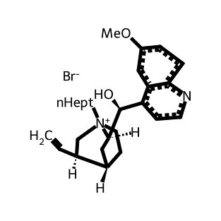 C=C[C@H]1C[N+]2(CCCCCCC)CC[C@H]1C[C@@H]2[C@@H](O)c1ccnc2ccc(OC)cc12.[Br-]